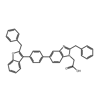 O=C(O)Cn1c(Cc2ccccc2)nc2cc(-c3ccc(-c4c(Cc5ccccc5)oc5ccccc45)cc3)ccc21